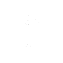 CC(C)(C)C(=O)OCN1C(=O)CCc2ccc(OCCCCN3CCN(c4cccc5sccc45)CC3)cc21